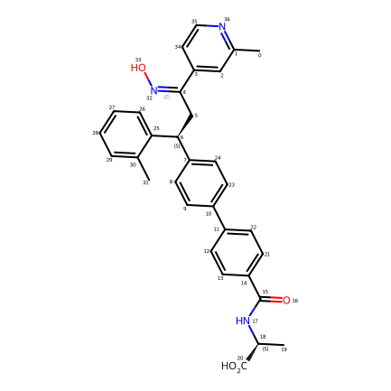 Cc1cc(/C(C[C@@H](c2ccc(-c3ccc(C(=O)N[C@@H](C)C(=O)O)cc3)cc2)c2ccccc2C)=N\O)ccn1